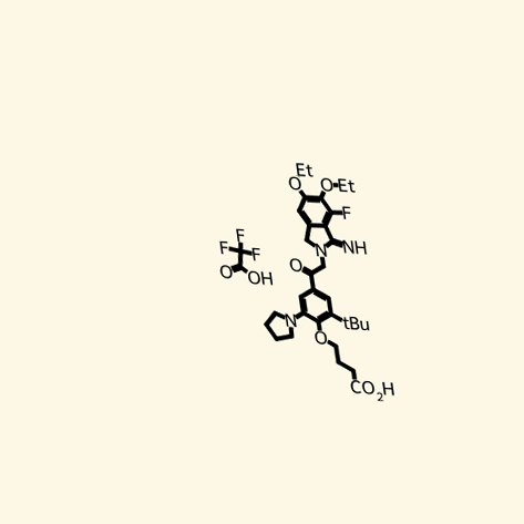 CCOc1cc2c(c(F)c1OCC)C(=N)N(CC(=O)c1cc(N3CCCC3)c(OCCCC(=O)O)c(C(C)(C)C)c1)C2.O=C(O)C(F)(F)F